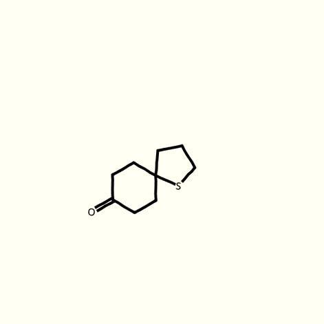 O=C1CCC2(CCCS2)CC1